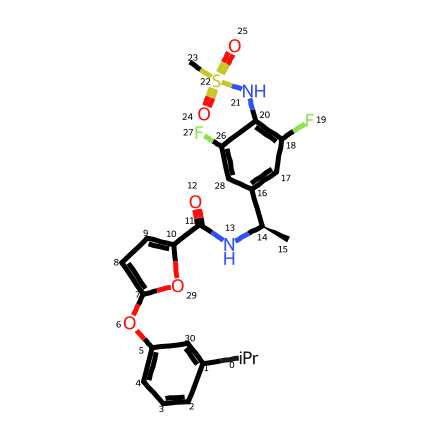 CC(C)c1cccc(Oc2ccc(C(=O)N[C@H](C)c3cc(F)c(NS(C)(=O)=O)c(F)c3)o2)c1